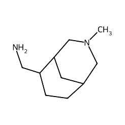 CN1CC2CCC(CN)C(C2)C1